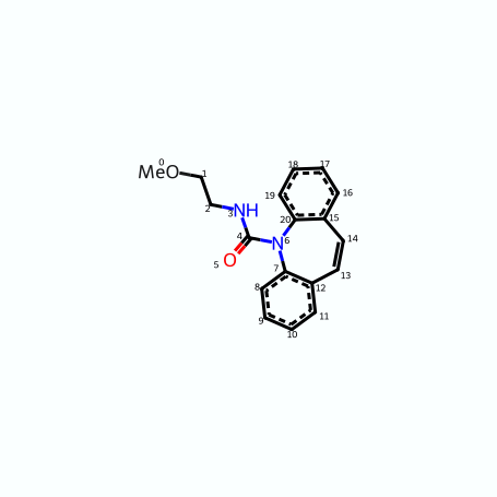 COCCNC(=O)N1c2ccccc2C=Cc2ccccc21